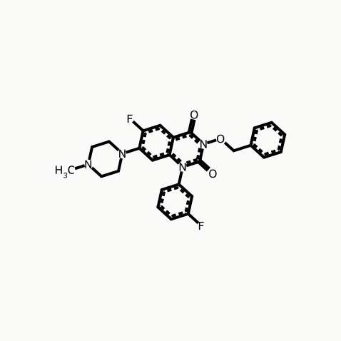 CN1CCN(c2cc3c(cc2F)c(=O)n(OCc2ccccc2)c(=O)n3-c2cccc(F)c2)CC1